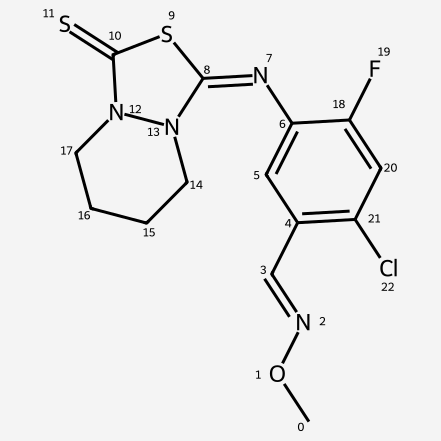 CO/N=C/c1cc(/N=c2/sc(=S)n3n2CCCC3)c(F)cc1Cl